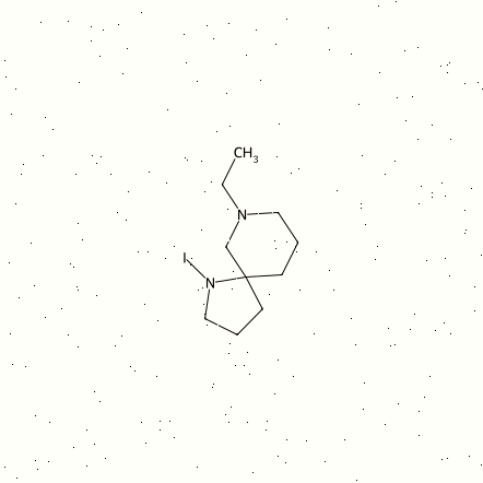 CCN1CCCC2(CCCN2I)C1